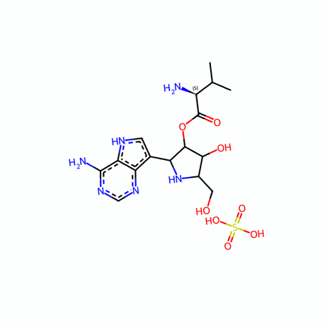 CC(C)[C@H](N)C(=O)OC1C(c2c[nH]c3c(N)ncnc23)NC(CO)C1O.O=S(=O)(O)O